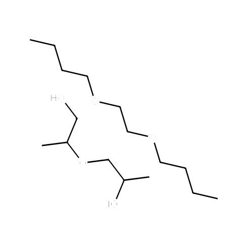 CC(O)COC(C)CO.CCCCOCCOCCCC